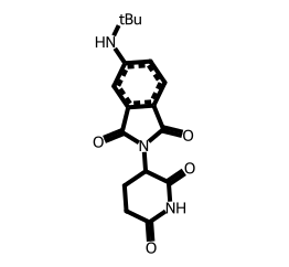 CC(C)(C)Nc1ccc2c(c1)C(=O)N(C1CCC(=O)NC1=O)C2=O